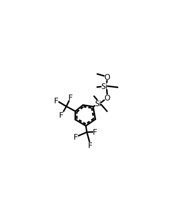 CO[Si](C)(C)O[Si](C)(C)c1cc(C(F)(F)F)cc(C(F)(F)F)c1